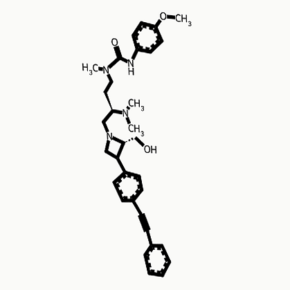 COc1ccc(NC(=O)N(C)CC[C@H](CN2CC(c3ccc(C#Cc4ccccc4)cc3)[C@H]2CO)N(C)C)cc1